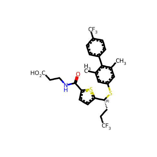 Cc1cc(S[C@H](CCC(F)(F)F)c2ccc(C(=O)NCCC(=O)O)s2)cc(C)c1-c1ccc(C(F)(F)F)cc1